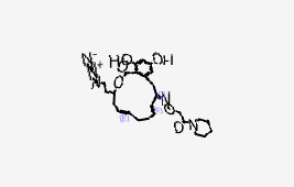 [N-]=[N+]=NCCC1C/C=C/CC/C=C/C(=N\OCC(=O)N2CCCCC2)Cc2cc(O)cc(O)c2C(=O)O1